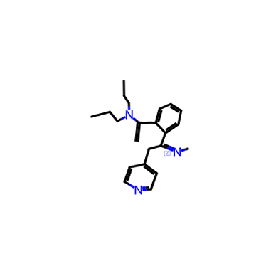 C=C(c1ccccc1/C(Cc1ccncc1)=N\C)N(CCC)CCC